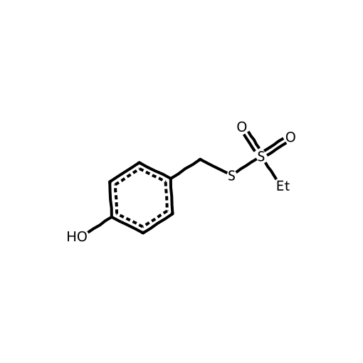 CCS(=O)(=O)SCc1ccc(O)cc1